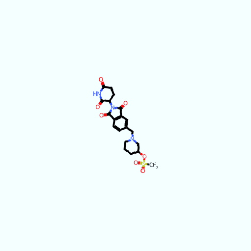 O=C1CCC(N2C(=O)c3ccc(CN4CCCC(OS(=O)(=O)C(F)(F)F)C4)cc3C2=O)C(=O)N1